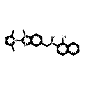 CC(=O)N(Cc1ccc2c(c1)nc(-n1c(C)ccc1C)n2C)c1ccc2ccccc2c1C#N